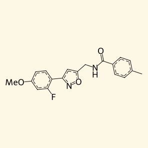 COc1ccc(-c2cc(CNC(=O)c3ccc(C)cc3)on2)c(F)c1